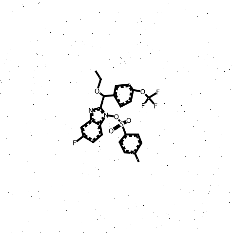 CCOC(c1ccc(OC(F)(F)F)cc1)c1nc2cc(F)ccc2n1OS(=O)(=O)c1ccc(C)cc1